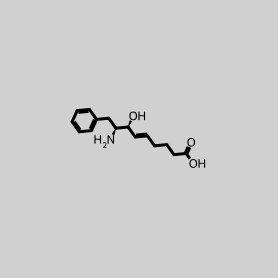 N[C@@H](Cc1ccccc1)[C@@H](O)/C=C/CCCC(=O)O